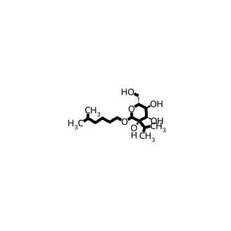 CC(C)CCCCOC1O[C@H](CO)[C@@H](O)[C@H](O)[C@]1(O)C(C)C